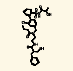 CCCC(=O)N(CCNC(=O)C(CS)Cc1ccccc1)Cc1ccc(-c2ccccc2S(=O)(=O)NC(=O)C(C)O)c(Cl)c1